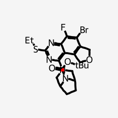 CCSc1nc(N2CC3CCC(C2)N3C(=O)OC(C)(C)C)c2c3c(c(Br)c(F)c2n1)COC3